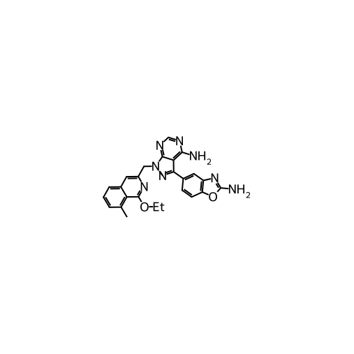 CCOc1nc(Cn2nc(-c3ccc4oc(N)nc4c3)c3c(N)ncnc32)cc2cccc(C)c12